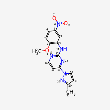 COc1ccc([N+](=O)[O-])cc1Nc1nccc(-n2ccc(C)n2)n1